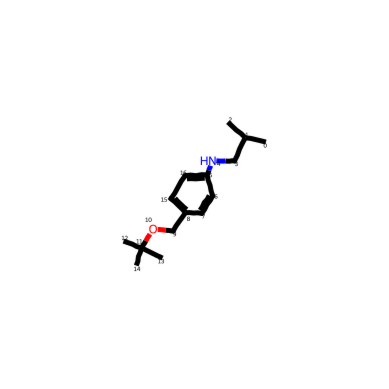 CC(C)CNc1ccc(COC(C)(C)C)cc1